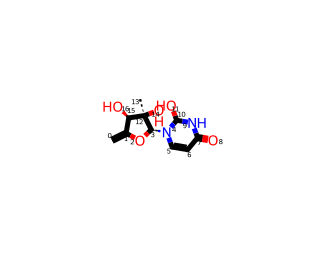 C=C1O[C@@H](N2C=CC(=O)NC2O)[C@](C)(O)[C@@H]1O